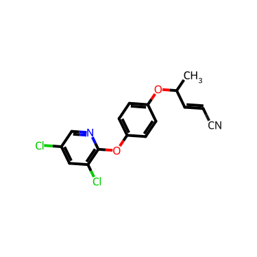 CC(C=CC#N)Oc1ccc(Oc2ncc(Cl)cc2Cl)cc1